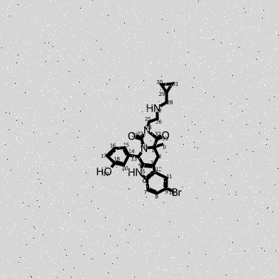 CC12Cc3c([nH]c4ccc(Br)cc34)C(c3cccc(O)c3)N1C(=O)N(CCNCC1CC1)C2=O